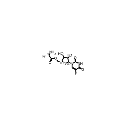 CC(C)[C@H](N)C(=O)OC[C@@H]1O[C@H](n2cc(F)c(=O)[nH]c2=O)C(O)C1O